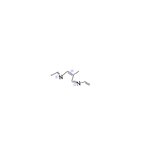 C=C\N=C/C(C)=C\N=C\C